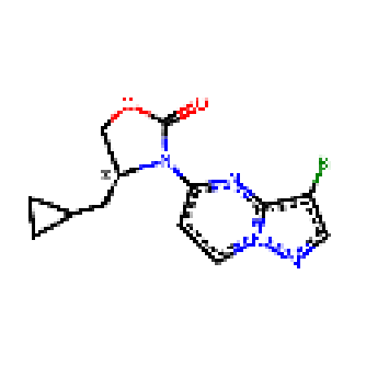 O=C1OC[C@H](CC2CC2)N1c1ccn2ncc(Br)c2n1